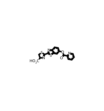 O=C(Oc1ccc2nc(C3=NC(C(=O)O)CS3)sc2c1)c1ccccn1